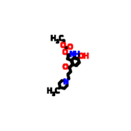 CCOC(=O)Oc1cc2c(C(=O)CCCN3CCC(C)CC3)ccc(O)c2[nH]1